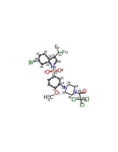 COc1ccc(S(=O)(=O)n2cc(C(F)F)c3ccc(Br)cc32)cc1N1CCN(C(=O)C(Cl)(Cl)Cl)CC1